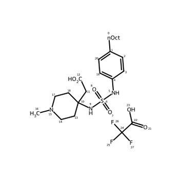 CCCCCCCCc1ccc(NS(=O)(=O)NC2(CC(=O)O)CCN(C)CC2)cc1.O=C(O)C(F)(F)F